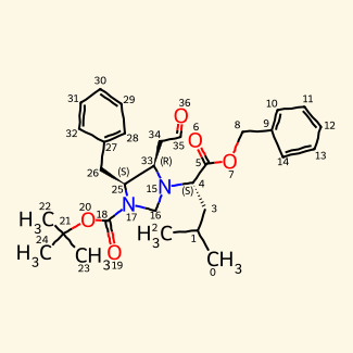 CC(C)C[C@@H](C(=O)OCc1ccccc1)N1CN(C(=O)OC(C)(C)C)[C@@H](Cc2ccccc2)[C@H]1CC=O